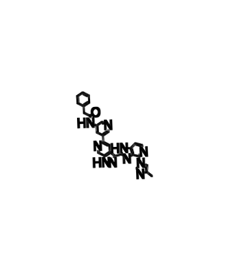 Cc1cn(-c2nccc3[nH]c(-c4n[nH]c5cnc(-c6cncc(NC(=O)Cc7ccccc7)c6)cc45)nc23)cn1